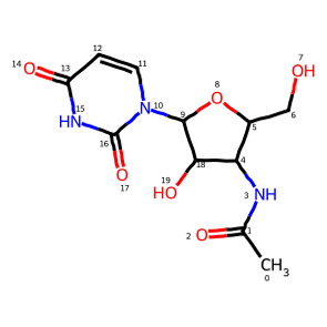 CC(=O)NC1C(CO)OC(n2ccc(=O)[nH]c2=O)C1O